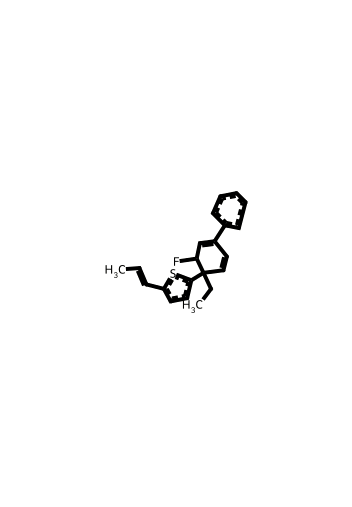 CC=Cc1ccc(C2(CC)C=CC(c3ccccc3)=CC2F)s1